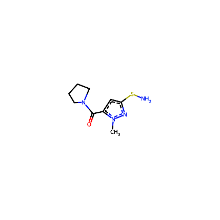 Cn1nc(SN)cc1C(=O)N1CCCC1